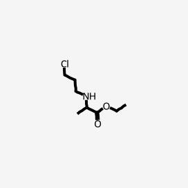 CCOC(=O)C(C)NCCCCl